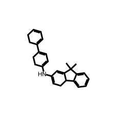 CC1(C)C2=CC(NC3=CC=C(C4=CC=CCC4)CC3)=CCC2c2ccccc21